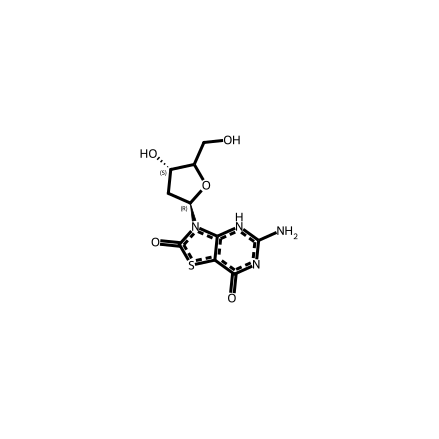 Nc1nc(=O)c2sc(=O)n([C@H]3C[C@H](O)C(CO)O3)c2[nH]1